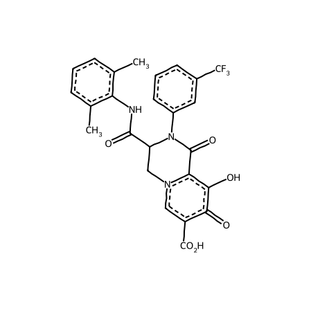 Cc1cccc(C)c1NC(=O)C1Cn2cc(C(=O)O)c(=O)c(O)c2C(=O)N1c1cccc(C(F)(F)F)c1